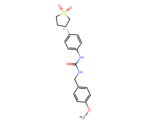 COc1ccc(CNC(=O)Nc2ccc([C@@H]3CCS(=O)(=O)C3)cc2)cc1